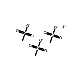 CS(=O)(=O)[O-].CS(=O)(=O)[O-].CS(=O)(=O)[O-].[Tl+3]